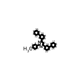 Cc1ccc(-c2nc(-c3cccc(-c4ccccc4)c3)cc(-c3cccc(-c4ccccc4)c3)n2)cc1